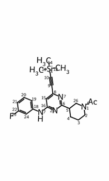 CC(=O)N1CCCC(c2nc(C#C[Si](C)(C)C)cc(Nc3cccc(F)c3)n2)C1